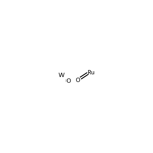 [O].[O]=[Ru].[W]